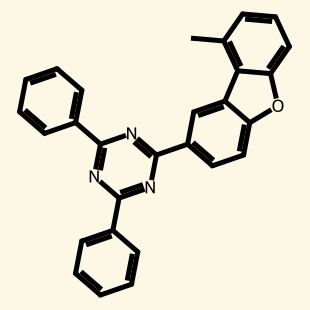 Cc1cccc2oc3ccc(-c4nc(-c5ccccc5)nc(-c5ccccc5)n4)cc3c12